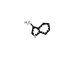 [CH2]c1csc2ccccc12